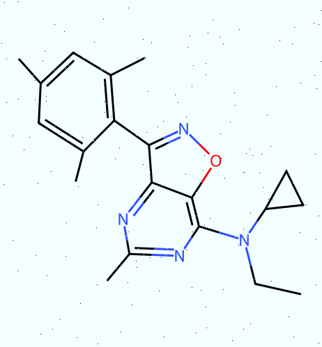 CCN(c1nc(C)nc2c(-c3c(C)cc(C)cc3C)noc12)C1CC1